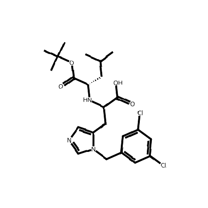 CC(C)C[C@H](NC(Cc1cncn1Cc1cc(Cl)cc(Cl)c1)C(=O)O)C(=O)OC(C)(C)C